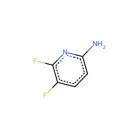 Nc1ccc(F)c(F)n1